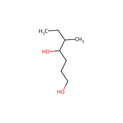 CCC(C)C(O)CCCO